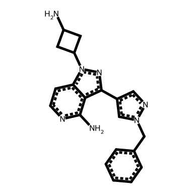 Nc1nccc2c1c(-c1cnn(Cc3ccccc3)c1)nn2C1CC(N)C1